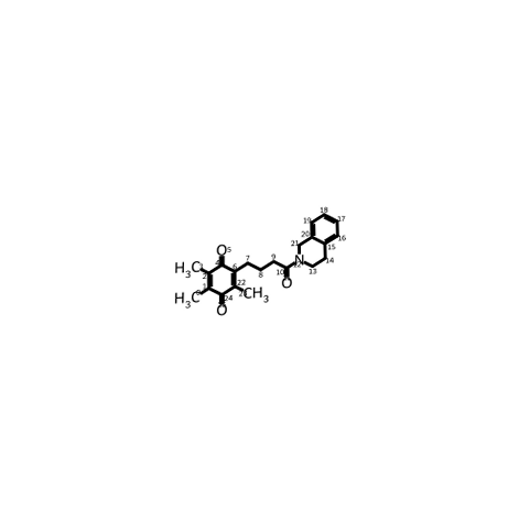 CC1=C(C)C(=O)C(CCCC(=O)N2CCc3ccccc3C2)=C(C)C1=O